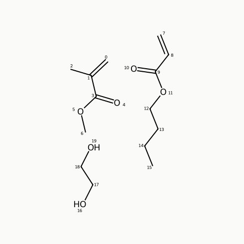 C=C(C)C(=O)OC.C=CC(=O)OCCCC.OCCO